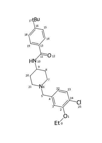 CCOc1cc(CN2CCC(NC(=O)c3ccc(C(C)(C)C)cc3)CC2)ccc1Cl